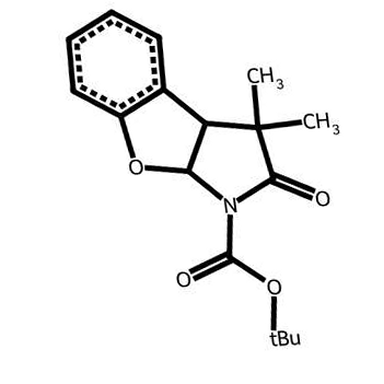 CC(C)(C)OC(=O)N1C(=O)C(C)(C)C2c3ccccc3OC21